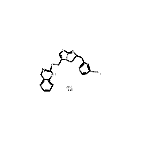 Cc1cccc(CC2CN3C(CSC4=NCc5ccccc5N4)=CSC3=N2)c1.Cl.Cl